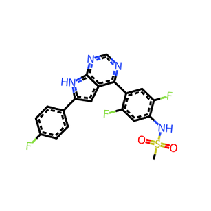 CS(=O)(=O)Nc1cc(F)c(-c2ncnc3[nH]c(-c4ccc(F)cc4)cc23)cc1F